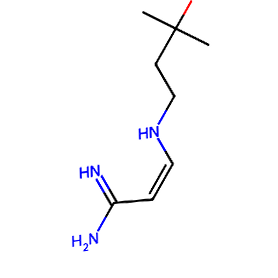 CC(C)(O)CCN/C=C\C(=N)N